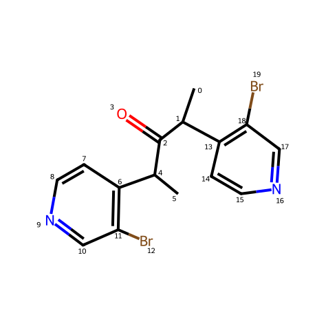 CC(C(=O)C(C)c1ccncc1Br)c1ccncc1Br